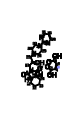 O=C(O)/C=C\C(=O)O.O=C1[C@H]2CCCC[C@H]2C(=O)N1CC(O)CN1CCN(c2ncccn2)CC1